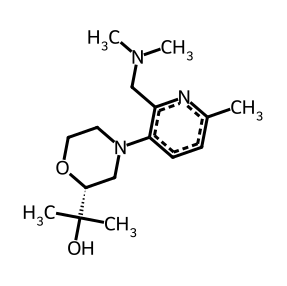 Cc1ccc(N2CCO[C@@H](C(C)(C)O)C2)c(CN(C)C)n1